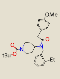 CCc1ccccc1CN(C(=O)Cc1ccc(OC)cc1)C1CCN(C(=O)OC(C)(C)C)CC1